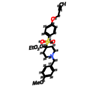 C#CCOc1ccc(S(=O)(=O)C2(C(=O)OCC)CCN(Cc3ccc(OC)cc3)CC2)cc1